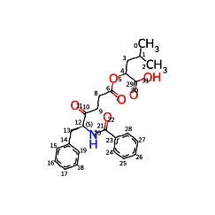 CC(C)CC(OC(=O)CCC(=O)[C@H](Cc1ccccc1)NC(=O)c1ccccc1)C(=O)O